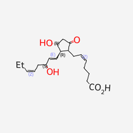 CC/C=C\C[C@H](O)/C=C/[C@@H]1C(C/C=C\CCCC(=O)O)C(=O)C[C@H]1O